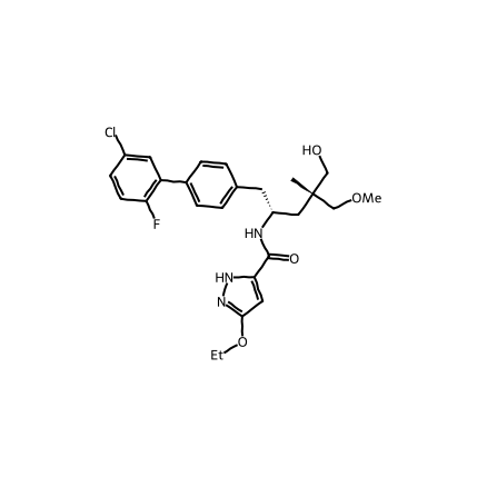 CCOc1cc(C(=O)N[C@H](Cc2ccc(-c3cc(Cl)ccc3F)cc2)C[C@](C)(CO)COC)[nH]n1